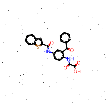 O=C(O)C(=O)Nc1ccc(NC(=O)c2cc3ccccc3s2)cc1C(=O)c1ccccc1